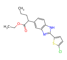 CCCC(C(=O)OCC)c1ccc2[nH]c(-c3ccc(Cl)s3)nc2c1